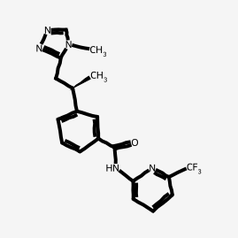 C[C@H](Cc1nncn1C)c1cccc(C(=O)Nc2cccc(C(F)(F)F)n2)c1